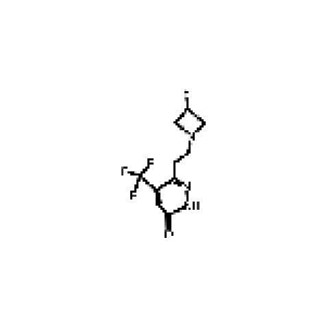 O=c1cc(C(F)(F)F)c(CCN2CC(F)C2)n[nH]1